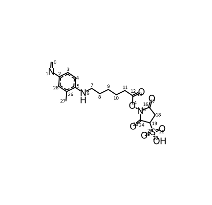 C=Nc1ccc(NCCCCCC(=O)ON2C(=O)CC(S(=O)(=O)O)C2=O)c(C)c1